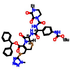 CCN1CCN(C(=O)N[C@H](C(=O)N[C@@H]2C(=O)N3C(C(=O)OC(c4ccccc4)c4ccccc4)=C(CSc4nnnn4C)CS[C@@H]23)c2ccc(NC(=O)OC(C)(C)C)cc2)C(=O)C1=O